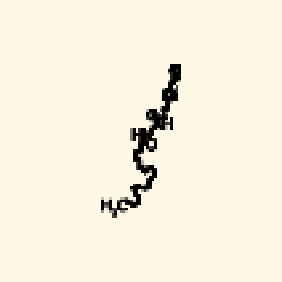 CC/C=C\C/C=C\C/C=C\C/C=C\C/C=C\C/C=C\CCC(=O)NCCNC(=O)C/C=C/c1ccc(CCN2CCCC2)nc1